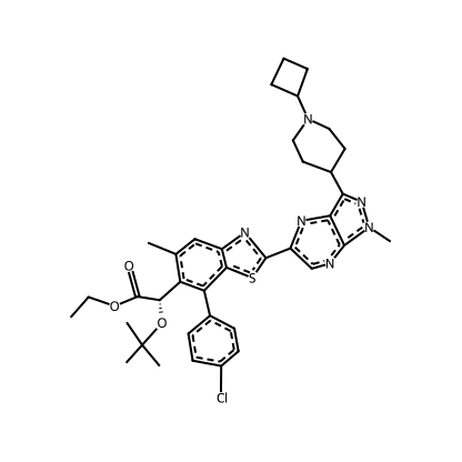 CCOC(=O)[C@@H](OC(C)(C)C)c1c(C)cc2nc(-c3cnc4c(n3)c(C3CCN(C5CCC5)CC3)nn4C)sc2c1-c1ccc(Cl)cc1